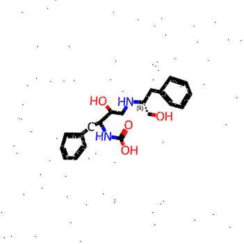 O=C(O)NC(Cc1ccccc1)C(O)CN[C@@H](CO)Cc1ccccc1